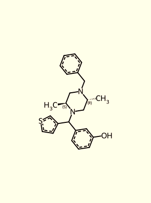 C[C@@H]1CN(C(c2ccsc2)c2cccc(O)c2)[C@@H](C)CN1Cc1ccccc1